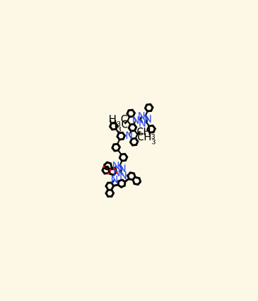 CC1(C)c2ccccc2N(c2cc(-c3ccccc3)cc(-c3cccc(-c4cccc(-c5nc(-c6ccccc6)nc(-n6c7ccc8ccccc8c7c7ccc8c9c%10ccccc%10ccc9n(-c9ccc%10ccccc%10c9)c8c76)n5)c4)c3)c2)c2cc3c(cc21)N(c1nc(-c2ccccc2)nc(-c2ccccc2)n1)c1ccccc1C3(C)C